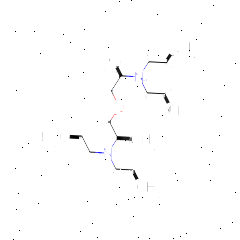 C=CCN(CC=C)C(=C)COCC(=C)N(CC=C)CC=C